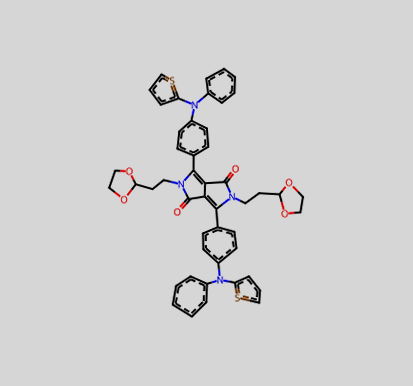 O=C1C2=C(c3ccc(N(c4ccccc4)c4cccs4)cc3)N(CCC3OCCO3)C(=O)C2=C(c2ccc(N(c3ccccc3)c3cccs3)cc2)N1CCC1OCCO1